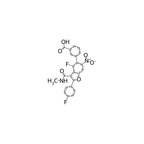 CNC(=O)c1c(-c2ccc(F)cc2)oc2cc([N+](=O)[O-])c(-c3cccc(C(=O)O)c3)c(F)c12